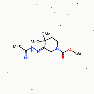 COC1(OC)CCN(C(=O)OC(C)(C)C)CC1=NNC(=N)SC